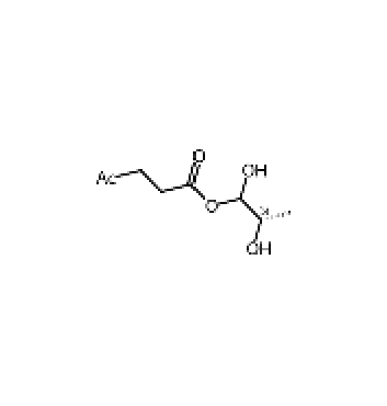 CC(=O)CCC(=O)OC(O)[C@H](C)O